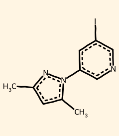 Cc1cc(C)n(-c2cncc(I)c2)n1